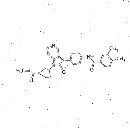 C=CC(=O)N1CCC(n2c(=O)n(-c3ccc(NC(=O)c4ccc(C)c(C)c4)cc3)c3cnccc32)C1